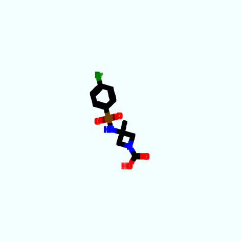 CC1(NS(=O)(=O)c2ccc(Br)cc2)CN(C(=O)O)C1